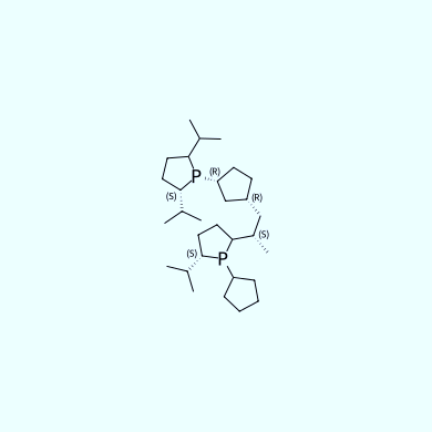 CC(C)C1CC[C@@H](C(C)C)P1[C@@H]1CC[C@H](C[C@H](C)C2CC[C@@H](C(C)C)P2C2CCCC2)C1